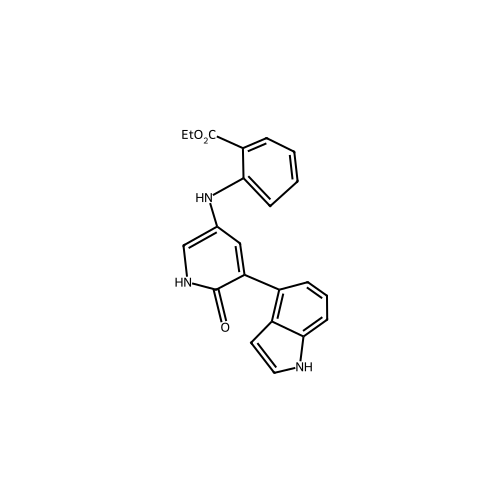 CCOC(=O)c1ccccc1Nc1c[nH]c(=O)c(-c2cccc3[nH]ccc23)c1